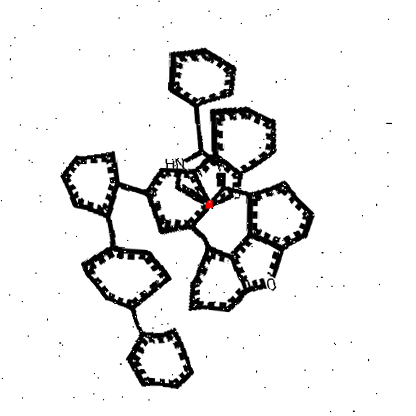 C1=NC(c2cccc3oc4cccc(-c5cc(-c6ccccc6-c6ccc(-c7ccccc7)cc6)cc6c5sc5ccccc56)c4c23)=NC(c2ccccc2)N1